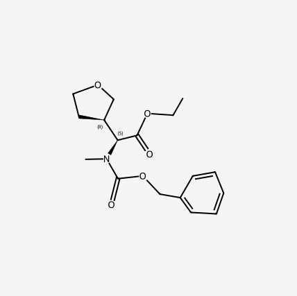 CCOC(=O)[C@H]([C@H]1CCOC1)N(C)C(=O)OCc1ccccc1